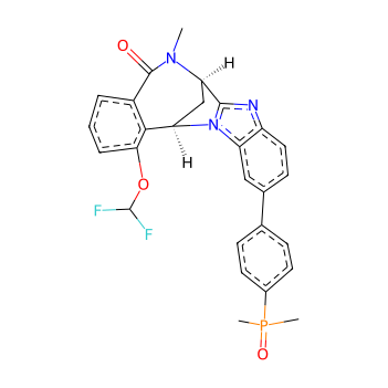 CN1C(=O)c2cccc(OC(F)F)c2[C@H]2C[C@@H]1c1nc3ccc(-c4ccc(P(C)(C)=O)cc4)cc3n12